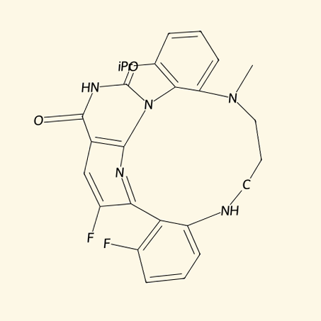 CC(C)c1cccc2c1-n1c(=O)[nH]c(=O)c3cc(F)c(nc31)-c1c(F)cccc1NCCCN2C